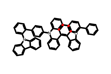 c1ccc(-c2ccc(-c3cccc(N(c4ccc(-c5ccccc5-n5c6ccccc6c6ccccc65)cc4)c4ccccc4-c4cccc5oc6ccccc6c45)c3)cc2)cc1